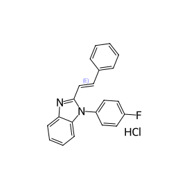 Cl.Fc1ccc(-n2c(/C=C/c3ccccc3)nc3ccccc32)cc1